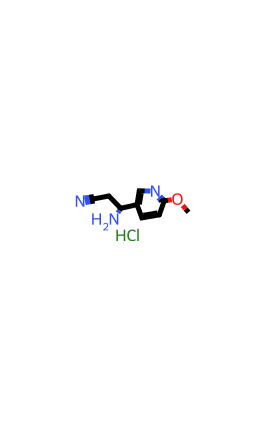 COc1ccc(C(N)CC#N)cn1.Cl